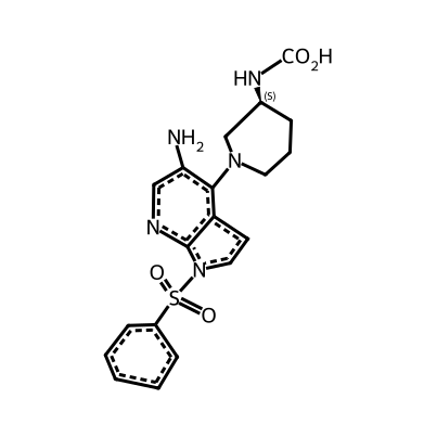 Nc1cnc2c(ccn2S(=O)(=O)c2ccccc2)c1N1CCC[C@H](NC(=O)O)C1